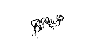 O=C[C@@]1(NC(=O)c2cc(=O)[nH]c(-c3ncccn3)n2)C=CCc2cc(C(F)(F)F)ccc21